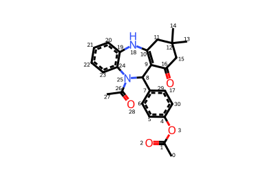 CC(=O)Oc1ccc(C2C3=C(CC(C)(C)CC3=O)Nc3ccccc3N2C(C)=O)cc1